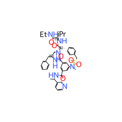 CCNC(=O)[C@@H](NC(=O)[C@H](C)NC[C@H](Cc1ccccc1)NC(=O)c1cc(C(=O)NC(C)c2cccnc2)cc(N(C)S(=O)(=O)Cc2ccccc2)c1)C(C)C